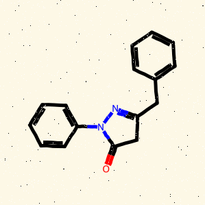 O=C1CC(Cc2ccccc2)=NN1c1ccccc1